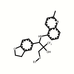 CCSCC(O)(C(Nc1cccc2nc(C)ccc12)c1ccc2c(c1)CCO2)C(F)(F)F